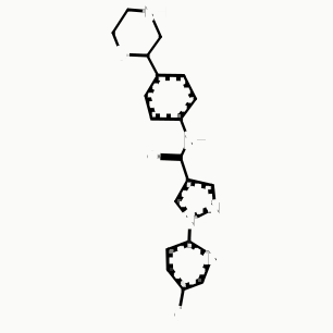 O=C(Nc1ccc(C2CNCCO2)cc1)c1cnn(-c2ccc(C(F)(F)F)cn2)c1